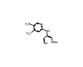 CN/C=C(\C=N)Nc1cc(C)c(N)cn1